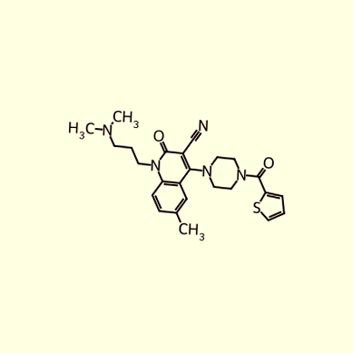 Cc1ccc2c(c1)c(N1CCN(C(=O)c3cccs3)CC1)c(C#N)c(=O)n2CCCN(C)C